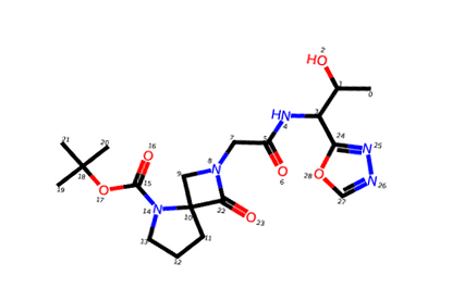 CC(O)C(NC(=O)CN1CC2(CCCN2C(=O)OC(C)(C)C)C1=O)c1nnco1